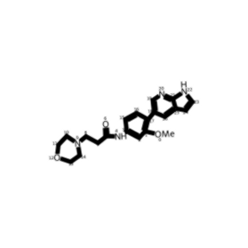 COc1cc(NC(=O)CCN2CCOCC2)ccc1-c1cnc2[nH]ccc2c1